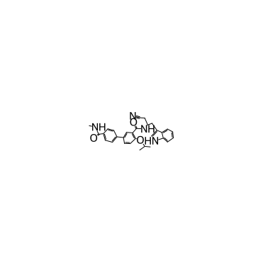 CNC(=O)c1ccc(-c2ccc(OC(C)C)c(C(=O)NC(CC#N)Cc3c[nH]c4ccccc34)c2)cc1